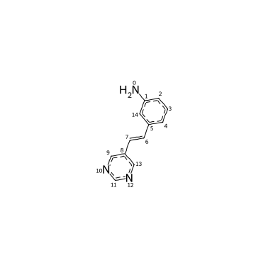 Nc1cccc(C=Cc2cncnc2)c1